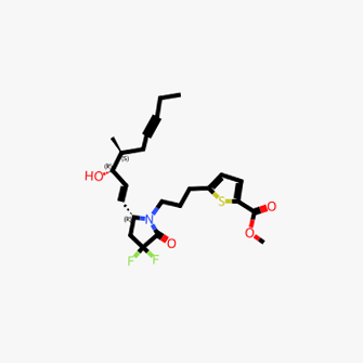 CCC#CC[C@H](C)[C@@H](O)C=C[C@H]1CC(F)(F)C(=O)N1CCCc1ccc(C(=O)OC)s1